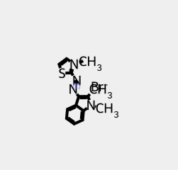 Cc1c(/N=N/c2scc[n+]2C)c2ccccc2n1C.[Br-]